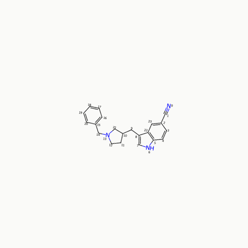 N#Cc1ccc2[nH]cc(CC3CCN(Cc4ccccc4)C3)c2c1